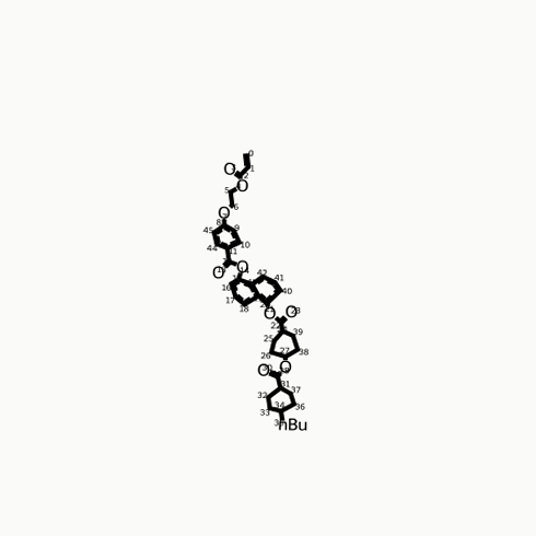 C=CC(=O)OCCOc1ccc(C(=O)Oc2cccc3c(OC(=O)C4CCC(OC(=O)C5CCC(CCCC)CC5)CC4)cccc23)cc1